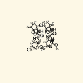 COc1nc(Cl)cc2nc(S(=O)(=O)Nc3c(Cl)ccc(C)c3Cl)nn12.COc1nc(F)cc2nc(S(=O)(=O)Nc3c(F)cccc3F)nn12